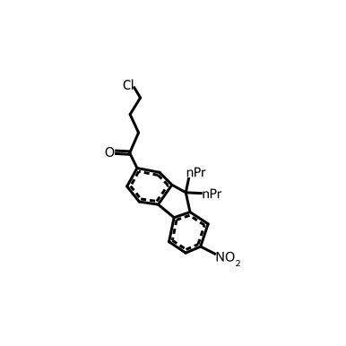 CCCC1(CCC)c2cc(C(=O)CCCCl)ccc2-c2ccc([N+](=O)[O-])cc21